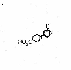 O=C(O)C1CCN(c2ccnc(F)c2)CC1